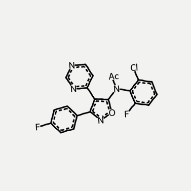 CC(=O)N(c1onc(-c2ccc(F)cc2)c1-c1ccncn1)c1c(F)cccc1Cl